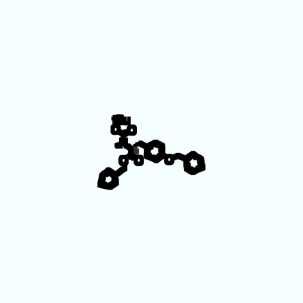 CN(C(=O)OC(C)(C)C)[C@H](Cc1ccc(OCc2ccccc2)cc1)C(=O)OCc1ccccc1